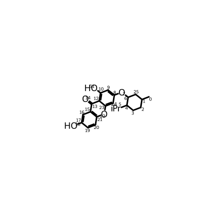 CC1CCC(C(C)C)C(Oc2cc(O)c3c(=O)c4cc(O)ccc4oc3c2)C1